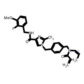 C=CC(=O)N(/C=C\C)Cc1ccc(Cn2cc(C(=O)NCc3cccc(OC)c3F)nc2C(F)(F)F)cc1